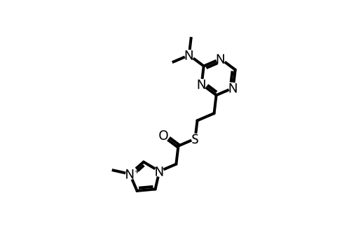 CN(C)c1ncnc(CCSC(=O)Cn2cc[n+](C)c2)n1